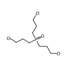 O=P(CCCCl)(CCCCl)CCCCl